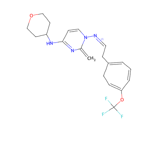 C=C1N=C(NC2CCOCC2)C=CN1/N=C\CC1=CC=CC(OC(F)(F)F)=CC1